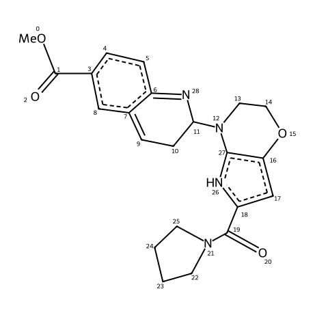 COC(=O)c1ccc2c(c1)=CCC(N1CCOc3cc(C(=O)N4CCCC4)[nH]c31)N=2